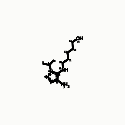 CC(C)n1ncc(N)c1NCCCCCO